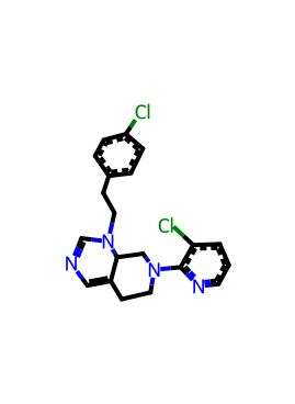 Clc1ccc(CCN2C=NC=C3CCN(c4ncccc4Cl)CC32)cc1